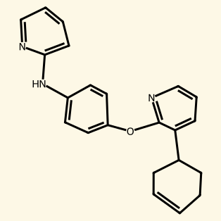 C1=CCC(c2cccnc2Oc2ccc(Nc3ccccn3)cc2)CC1